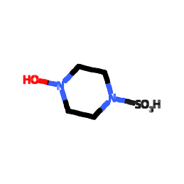 O=S(=O)(O)N1CCN(O)CC1